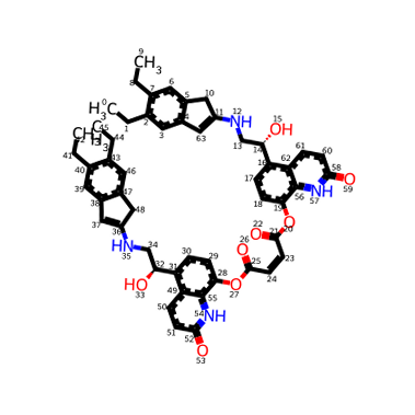 CCc1cc2c(cc1CC)CC(NC[C@H](O)c1ccc(OC(=O)/C=C\C(=O)Oc3ccc([C@@H](O)CNC4=Cc5cc(CC)c(CC)cc5C4)c4ccc(=O)[nH]c34)c3[nH]c(=O)ccc13)=C2